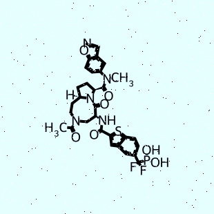 CC(=O)N1CC[C@H]2CC[C@@H](C(=O)N(C)c3ccc4oncc4c3)N2C(=O)[C@@H](NC(=O)c2cc3cc(C(F)(F)P(O)O)ccc3s2)C1